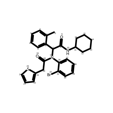 Cc1ccccc1C(C(=O)NC1CCCCC1)N(C(=O)Cc1cccs1)c1ccccc1Br